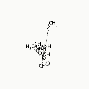 CCCCCCCCCCCCNC(=O)C[C@H](NC(=O)OCC1c2ccccc2-c2ccccc21)C(=O)NC(=O)OC(C)(C)C